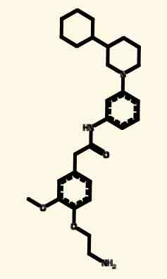 COc1cc(CC(=O)Nc2cccc(N3CCCC(C4CCCCC4)C3)c2)ccc1OCCN